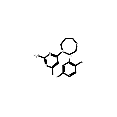 Cc1cc(N2CCCOC[C@@H]2c2cc(F)ccc2Cl)nc(N)n1